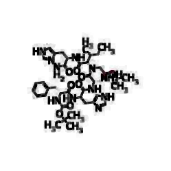 CC[C@H](C)[C@@H](C(=O)NC(Cc1c[nH]cn1)C(N)=O)N(C[C@@H](N)CC(C)C)C(=O)[C@H](CCO)NC(=O)C(Cc1c[nH]cn1)NC(=O)[C@@H](Cc1ccccc1)NC(=O)OC(C)(C)C